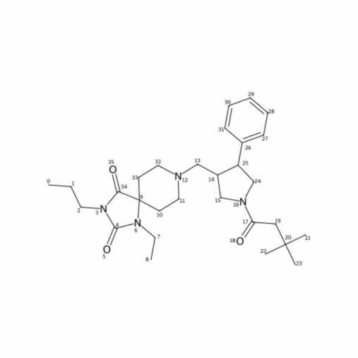 CCCN1C(=O)N(CC)C2(CCN(CC3CN(C(=O)CC(C)(C)C)CC3c3ccccc3)CC2)C1=O